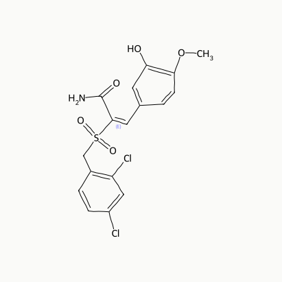 COc1ccc(/C=C(\C(N)=O)S(=O)(=O)Cc2ccc(Cl)cc2Cl)cc1O